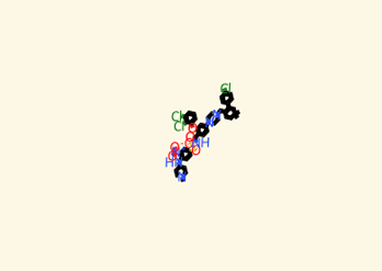 CN1CCC(Nc2ccc(S(=O)(=O)NC(=O)c3ccc(N4CCN(CC5=C(c6ccc(Cl)cc6)CC(C)(C)CC5)CC4)cc3Oc3cccc(Cl)c3Cl)cc2[N+](=O)[O-])CC1